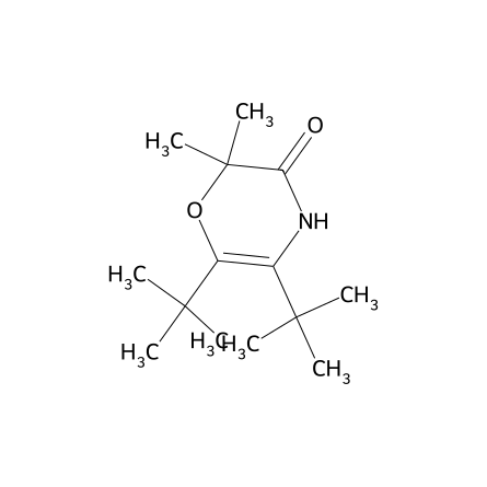 CC(C)(C)C1=C(C(C)(C)C)OC(C)(C)C(=O)N1